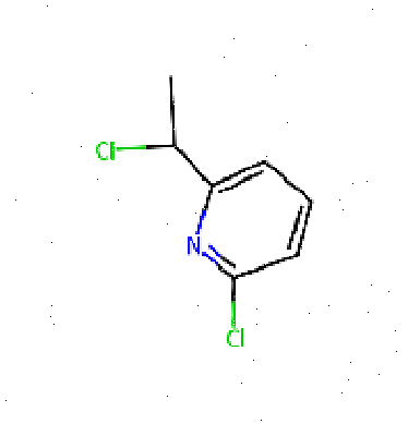 CC(Cl)c1cccc(Cl)n1